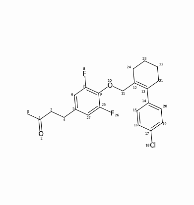 CC(=O)CCc1cc(F)c(OCC2=C(c3ccc(Cl)cc3)CCCC2)c(F)c1